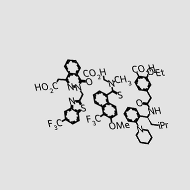 CCOc1cc(CC(=O)N[C@@H](CC(C)C)c2ccccc2N2CCCCC2)ccc1C(=O)O.COc1ccc2c(C(=S)N(C)CC(=O)O)cccc2c1C(F)(F)F.O=C(O)Cc1nn(Cc2nc3cc(C(F)(F)F)ccc3s2)c(=O)c2ccccc12